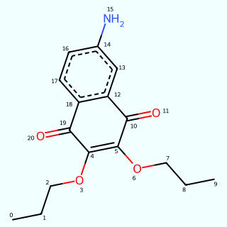 CCCOC1=C(OCCC)C(=O)c2cc(N)ccc2C1=O